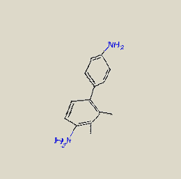 Cc1c(N)ccc(-c2ccc(N)cc2)c1C